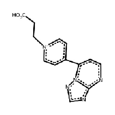 O=C(O)CC[n+]1ccc(-c2ccnc3ncnn23)cc1